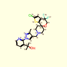 Cc1nn(-c2ncccc2C(C)(C)O)cc1CN1CCC2(CC1)OCC(F)(F)c1cc(Cl)sc12